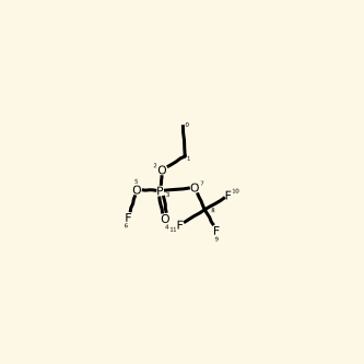 CCOP(=O)(OF)OC(F)(F)F